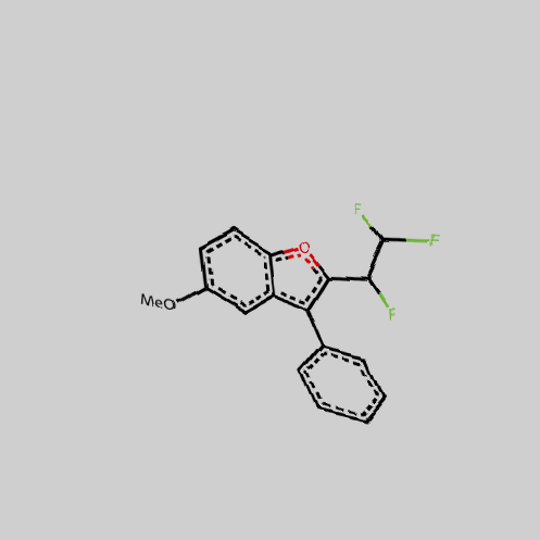 COc1ccc2oc(C(F)C(F)F)c(-c3ccccc3)c2c1